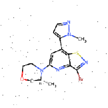 C[C@@H]1COCCN1c1cc(-c2ccnn2C)c2snc(Br)c2n1